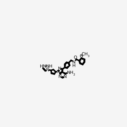 COc1ccccc1C(=O)NCc1ccc(-c2nn(C3C=CC(N4C=CNN4)C3)c3ncnc(N)c23)cc1